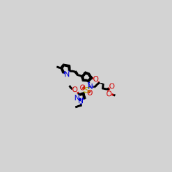 CCOc1nn(CC)cc1S(=O)(=O)N1C[C@H](CCC(=O)OC)Oc2ccc(/C=C/c3ccc(C)cn3)cc21